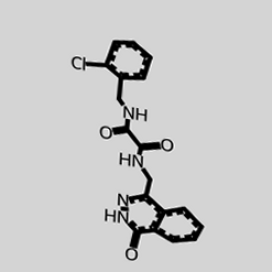 O=C(NCc1ccccc1Cl)C(=O)NCc1n[nH]c(=O)c2ccccc12